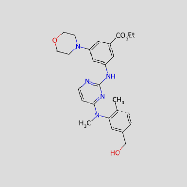 CCOC(=O)c1cc(Nc2nccc(N(C)c3cc(CO)ccc3C)n2)cc(N2CCOCC2)c1